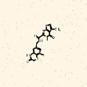 Cc1csc2nc(C(=O)NCc3cc(F)c4c(c3)NC(=O)CO4)[nH]c(=O)c12